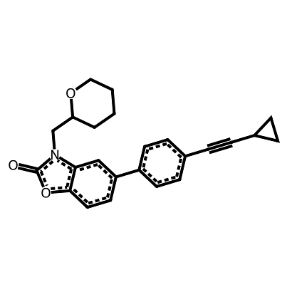 O=c1oc2ccc(-c3ccc(C#CC4CC4)cc3)cc2n1CC1CCCCO1